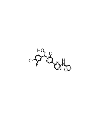 O=c1cc(-c2ccnc(N[C@H]3CCCO3)n2)ccn1[C@H](CO)c1ccc(Cl)c(F)c1